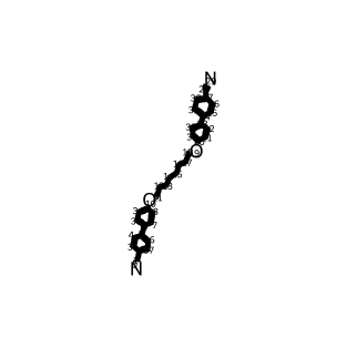 N#Cc1ccc(-c2ccc(OCCCCCCCCOc3ccc(-c4ccc(C#N)cc4)cc3)cc2)cc1